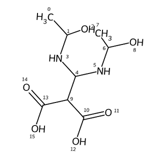 CC(O)NC(NC(C)O)C(C(=O)O)C(=O)O